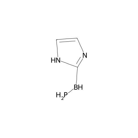 PBc1ncc[nH]1